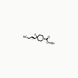 CC(C)(C)OC(=O)N1CCC(F)(/C=C/CC#N)CC1